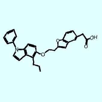 CCCc1c(OCCc2cc3cc(CC(=O)O)ccc3o2)ccc2c1ccn2-c1ccccc1